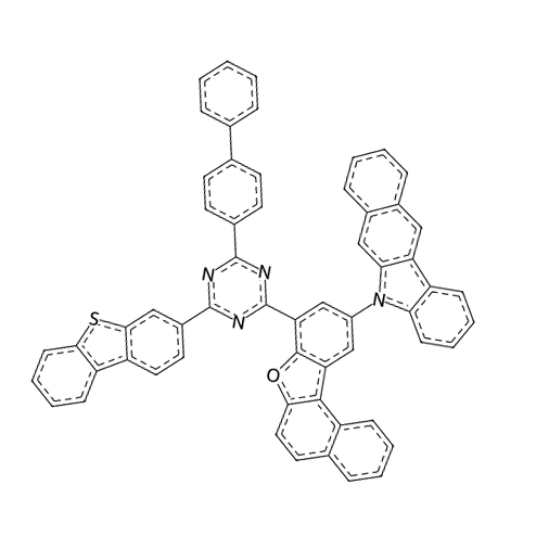 c1ccc(-c2ccc(-c3nc(-c4ccc5c(c4)sc4ccccc45)nc(-c4cc(-n5c6ccccc6c6cc7ccccc7cc65)cc5c4oc4ccc6ccccc6c45)n3)cc2)cc1